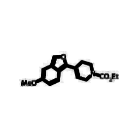 CCOC(=O)N1CC=C(c2occ3cc(OC)ccc23)CC1